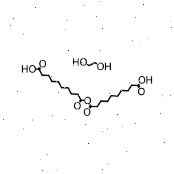 O=C(O)CCCCCCCCC(=O)OC(=O)CCCCCCCCC(=O)O.OCCO